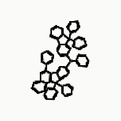 c1ccc(-c2cc3ccccc3c3c2-c2cc(N(c4ccccc4)c4ccc5c(c4)C(c4ccccc4)(c4ccccc4)c4ccccc4-5)ccc2C3(c2ccccc2)c2ccccc2)cc1